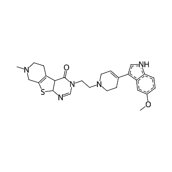 COc1ccc2[nH]cc(C3=CCN(CCN4C=NC5SC6=C(CCN(C)C6)C5C4=O)CC3)c2c1